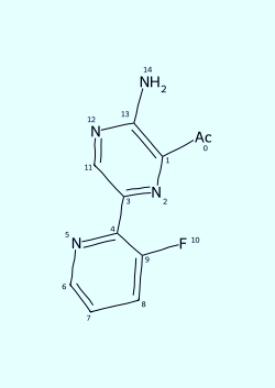 CC(=O)c1nc(-c2ncccc2F)cnc1N